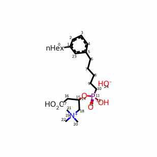 CCCCCCc1cccc(CCCCCP(=O)(O)OC(CC(=O)O)C[N+](C)(C)C)c1.[OH-]